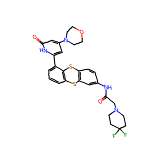 O=C(CN1CCC(F)(F)CC1)Nc1ccc2c(c1)Sc1cccc(-c3cc(N4CCOCC4)cc(=O)[nH]3)c1S2